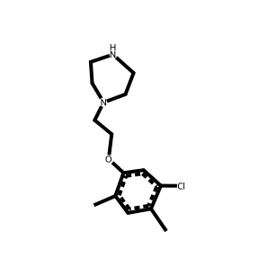 Cc1cc(C)c(OCCN2CCNCC2)cc1Cl